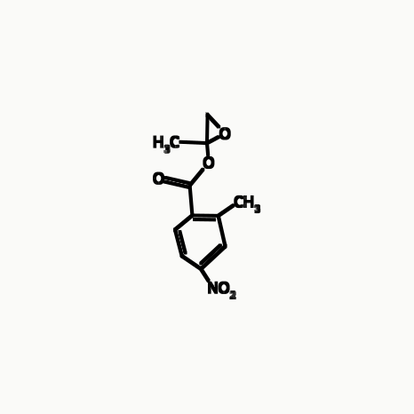 Cc1cc([N+](=O)[O-])ccc1C(=O)OC1(C)CO1